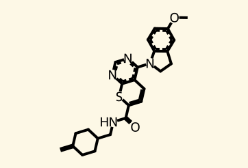 C=C1CCC(CNC(=O)C2=C=Cc3c(ncnc3N3CCc4cc(OC)ccc43)S2)CC1